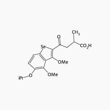 COc1c(OC(C)C)ccc2[se]c(C(=O)CC(C)C(=O)O)c(OC)c12